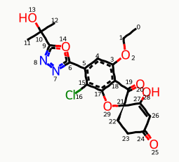 CCOc1cc(-c2nnc(C(C)(C)O)o2)c(Cl)c2c1C(=O)[C@@]1(CCC(=O)C=C1O)O2